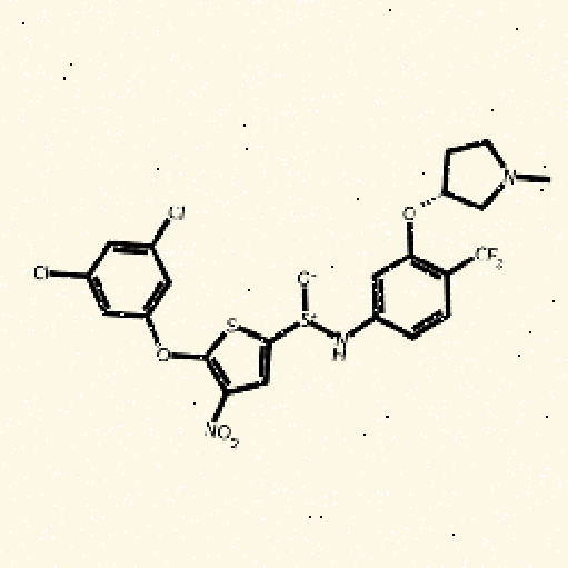 CN1CC[C@@H](Oc2cc(N[S+]([O-])c3cc([N+](=O)[O-])c(Oc4cc(Cl)cc(Cl)c4)s3)ccc2C(F)(F)F)C1